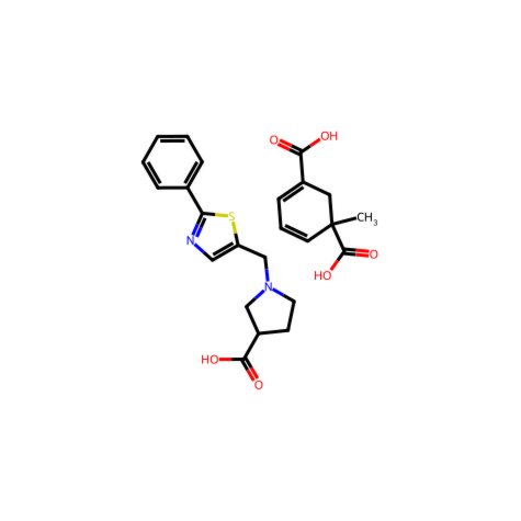 CC1(C(=O)O)C=CC=C(C(=O)O)C1.O=C(O)C1CCN(Cc2cnc(-c3ccccc3)s2)C1